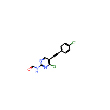 O=CNc1ncc(C#Cc2ccc(Cl)cc2)c(Cl)n1